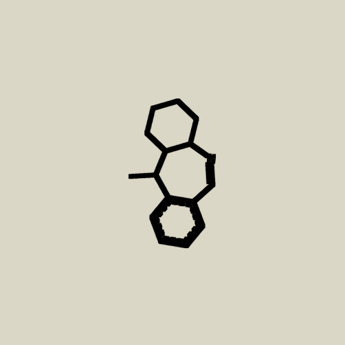 CC1c2ccccc2C=NC2CCCCC21